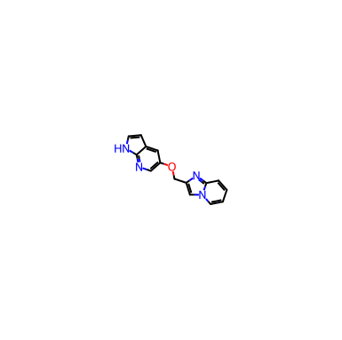 c1ccn2cc(COc3cnc4[nH]ccc4c3)nc2c1